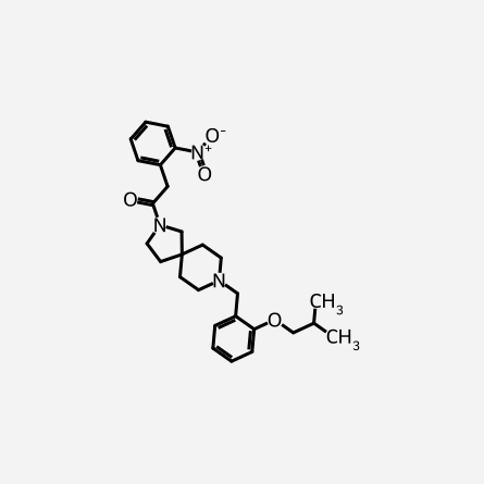 CC(C)COc1ccccc1CN1CCC2(CC1)CCN(C(=O)Cc1ccccc1[N+](=O)[O-])C2